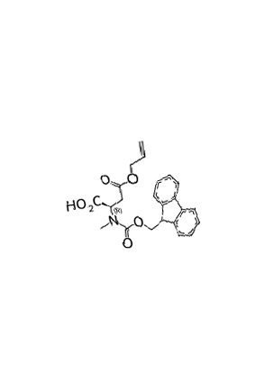 C=CCOC(=O)C[C@H](C(=O)O)N(C)C(=O)OCC1c2ccccc2-c2ccccc21